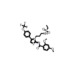 CCS(=O)(=O)NCCCn1c(-c2ccc(OC(F)(F)F)cc2)cs/c1=N\C(=O)c1ccc(OC)cc1OC